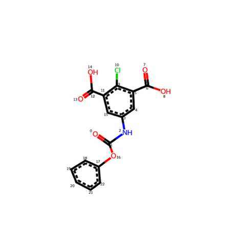 O=C(Nc1cc(C(=O)O)c(Cl)c(C(=O)O)c1)Oc1ccccc1